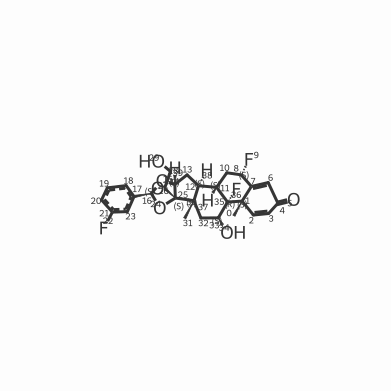 C[C@]12C=CC(=O)C=C1[C@@H](F)C[C@H]1[C@@H]3C[C@H]4O[C@H](c5cccc(F)c5)O[C@@]4(C(=O)CO)[C@@]3(C)C[C@H](O)[C@@]12F